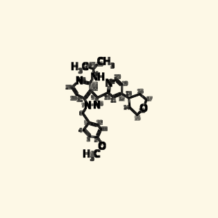 COc1ccc(Cn2nc(-c3cc(C4CCOCC4)ccn3)c3c(NC(C)C)nccc32)cc1